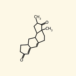 CC1CC2C3CC4CCC(=O)C=C4C=C3CCC2(C)C1=O